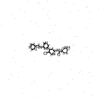 O=C(Nc1cc(-c2cncc(NCc3ccncc3)n2)c(Cl)cn1)[C@@H]1CCCNC1